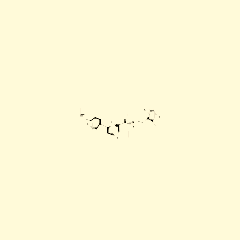 CCOc1ccc(-c2cncc(C(=O)NOCc3[nH]cnc3C)n2)cn1